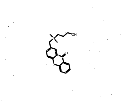 C[N+](C)(CCCO)Cc1ccc2sc3ccccc3c(=O)c2c1